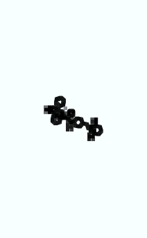 C[C@H](NC(=O)NC1CCC(CCN2[C@@H]3CCC[C@H]2CC3)CC1)C(O)(c1ccccc1)c1ccccc1